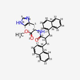 COC(=O)[C@H](Cc1c[nH]cn1)NC(=O)C(Cc1cccc2ccccc12)Cc1cccc2ccccc12